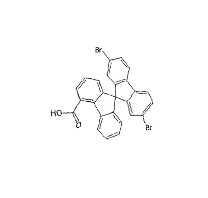 O=C(O)c1cccc2c1-c1ccccc1C21c2cc(Br)ccc2-c2ccc(Br)cc21